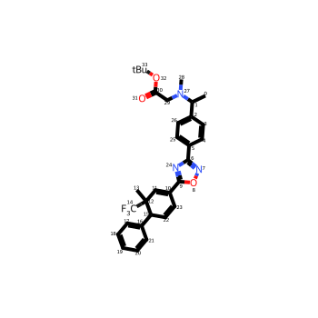 CC(c1ccc(-c2noc(C3=CC(C)(C(F)(F)F)C(c4ccccc4)C=C3)n2)cc1)N(C)CC(=O)OC(C)(C)C